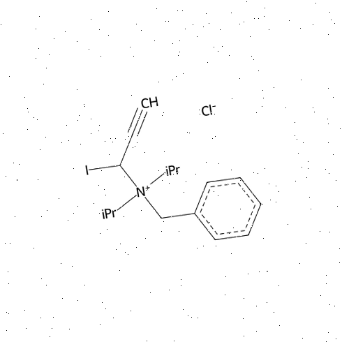 C#CC(I)[N+](Cc1ccccc1)(C(C)C)C(C)C.[Cl-]